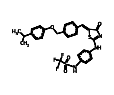 CC(C)c1ccc(OCc2ccc(/C=C3\SC(Nc4ccc(NS(=O)(=O)C(F)(F)F)cc4)=NC3=O)cc2)cc1